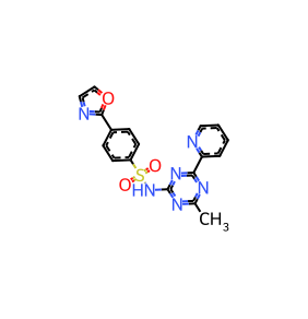 Cc1nc(NS(=O)(=O)c2ccc(-c3ncco3)cc2)nc(-c2ccccn2)n1